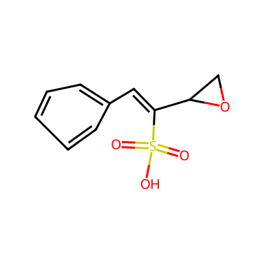 O=S(=O)(O)C(=Cc1ccccc1)C1CO1